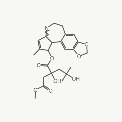 COC(=O)CC(O)(CC(C)(C)O)C(=O)OC1C(C)=CC23CCCN2CCc2cc4c(cc2C13)OCO4